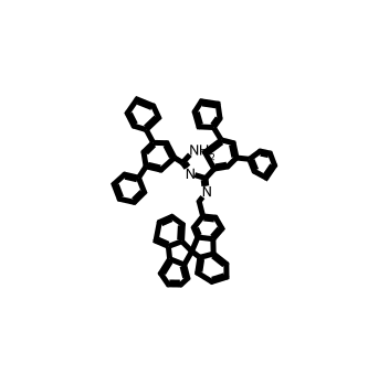 N/C(=N\C(=N/Cc1ccc2c(c1)C1(c3ccccc3-c3ccccc31)c1ccccc1-2)c1cc(-c2ccccc2)cc(-c2ccccc2)c1)c1cc(-c2ccccc2)cc(-c2ccccc2)c1